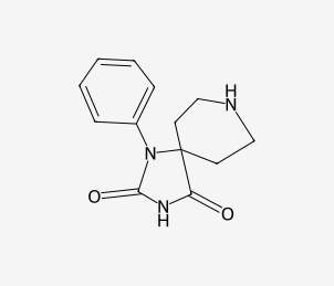 O=C1NC(=O)C2(CCNCC2)N1c1ccccc1